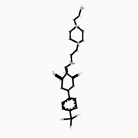 O=C1CC(c2ccc(C(F)(F)F)cc2)CC(=O)C1=CNCCN1CCN(CCO)CC1